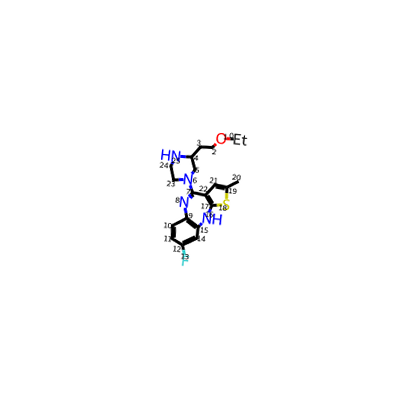 CCOCCC1CN(C2=Nc3ccc(F)cc3Nc3sc(C)cc32)CCN1